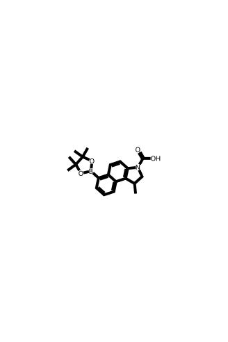 CC1CN(C(=O)O)c2ccc3c(B4OC(C)(C)C(C)(C)O4)cccc3c21